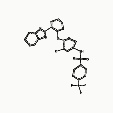 O=S(=O)(Nc1cnc(Oc2ccccc2-c2nc3ccccc3s2)c(Cl)c1)c1ccc(C(F)(F)F)cc1